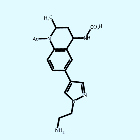 CC(=O)N1c2ccc(-c3cnn(CCN)c3)cc2C(NC(=O)O)CC1C